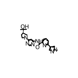 Cn1cc(-c2cccc(C(=O)Nc3cc(N4CC[C@@H](C(C)(C)O)C4)ncn3)n2)cn1